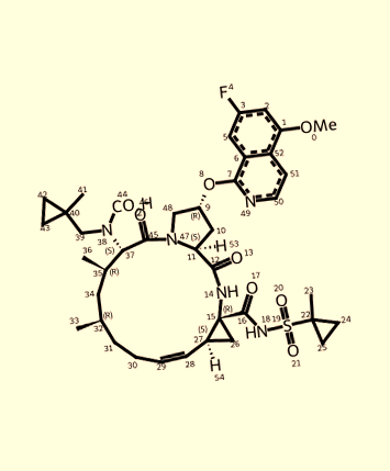 COc1cc(F)cc2c(O[C@@H]3C[C@H]4C(=O)N[C@]5(C(=O)NS(=O)(=O)C6(C)CC6)C[C@H]5C=CCC[C@@H](C)C[C@@H](C)[C@H](N(CC5(C)CC5)C(=O)O)C(=O)N4C3)nccc12